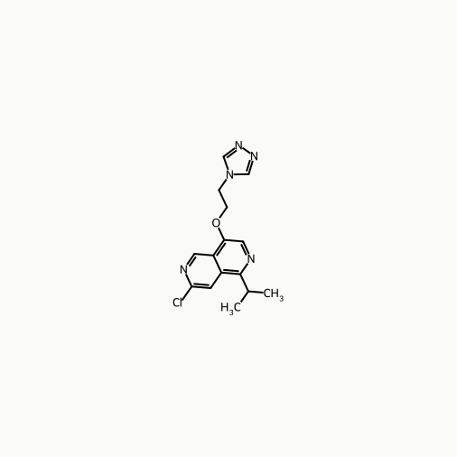 CC(C)c1ncc(OCCn2cnnc2)c2cnc(Cl)cc12